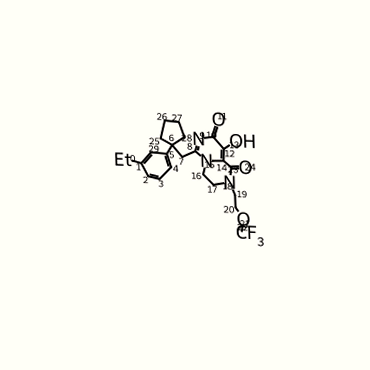 CCc1cccc(C2(Cc3nc(=O)c(O)c4n3CCN(CCOC(F)(F)F)C4=O)CCCC2)c1